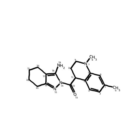 Cc1ccc2c(c1)N(C)CCC2C(=O)n1nc2c(c1N)CCCC2